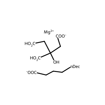 CCCCCCCCCCCCCC(=O)[O-].O=C([O-])CC(O)(CC(=O)O)C(=O)O.[Mg+2]